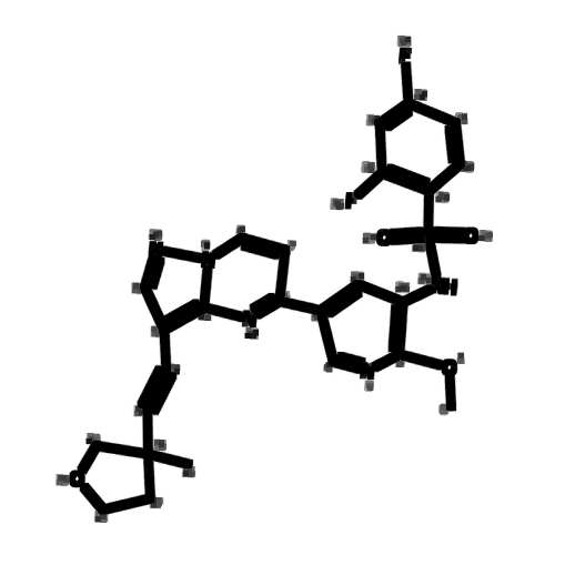 COc1ncc(-c2ccn3ncc(C#CC4(C)CCOC4)c3n2)cc1NS(=O)(=O)c1ccc(F)cc1F